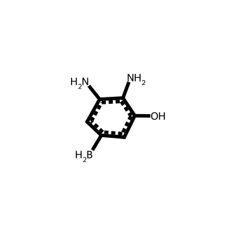 Bc1cc(N)c(N)c(O)c1